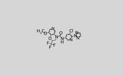 COc1cncc2c1OC(C(F)(F)F)CN2C(=O)Nc1cnc(-n2nccn2)c(Cl)c1